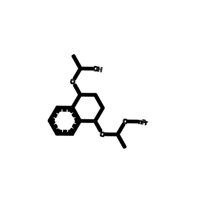 CCCOC(C)OC1CCC(OC(C)O)c2ccccc21